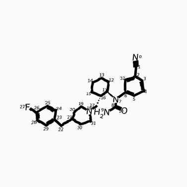 N#Cc1cccc(N(C(N)=O)[C@@H]2CCCC[C@H]2CN2CCC(Cc3ccc(F)cc3)CC2)c1